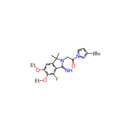 CCOc1cc2c(c(F)c1OCC)C(=N)N(CC(=O)n1ccc(C(C)(C)C)c1)C2(C)C